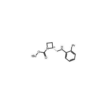 CC(C)c1ccccc1NC[C@H]1CCN1C(=O)OC(C)(C)C